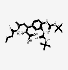 CCCC(=O)OC(C)CC(c1ccc(OC(=O)OC(C)(C)C)c(OC(=O)OC(C)(C)C)c1)[C@H](N)C(=O)O